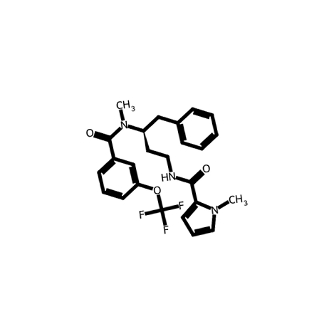 CN(C(=O)c1cccc(OC(F)(F)F)c1)[C@H](CCNC(=O)c1cccn1C)Cc1ccccc1